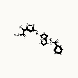 COC(=O)C(c1cc(OC[C@@H]2CC[C@@]3(COC(=O)c4ccccc4)CCCN23)no1)C(C)C